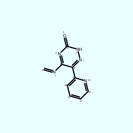 C=Nc1nc(=O)[nH]nc1-c1ccccn1